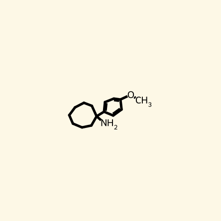 COc1ccc(C2(N)CCCCCCC2)cc1